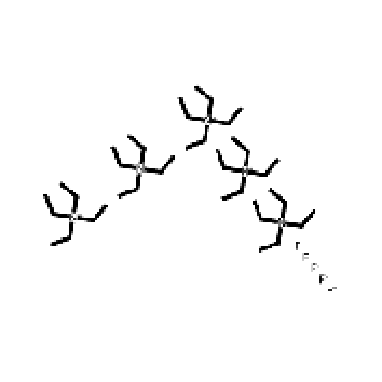 CC[N+](CC)(CC)CC.CC[N+](CC)(CC)CC.CC[N+](CC)(CC)CC.CC[N+](CC)(CC)CC.CC[N+](CC)(CC)CC.[F-].[F-].[F-].[F-].[F-]